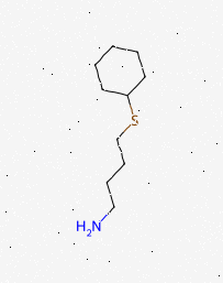 NCCCCSC1CCCCC1